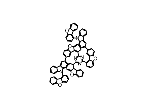 C1=CC(c2nc(-c3cccc4oc5ccc(-c6ccc7c(c6)c6ccccc6n7-c6cccc7oc8ccccc8c67)cc5c34)nc(-c3cccc4oc5ccc(-c6ccc7c(c6)c6ccccc6n7-c6cccc7oc8ccccc8c67)cc5c34)n2)C2C(=C1)Oc1ccccc12